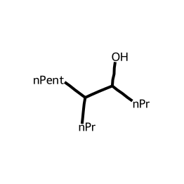 CCCCCC(CCC)C(O)CCC